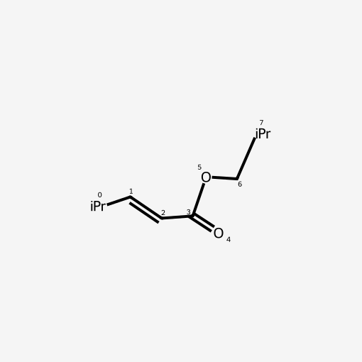 CC(C)C=CC(=O)OCC(C)C